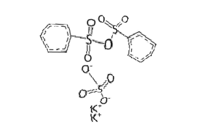 O=S(=O)(OS(=O)(=O)c1ccccc1)c1ccccc1.O=S(=O)([O-])[O-].[K+].[K+]